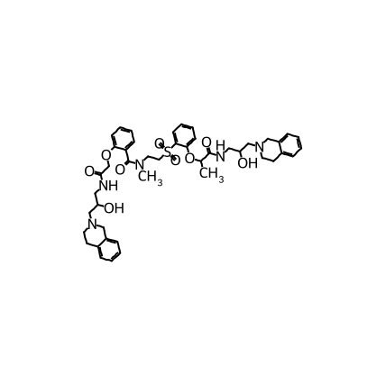 CC(Oc1ccccc1S(=O)(=O)CCN(C)C(=O)c1ccccc1OCC(=O)NCC(O)CN1CCc2ccccc2C1)C(=O)NCC(O)CN1CCc2ccccc2C1